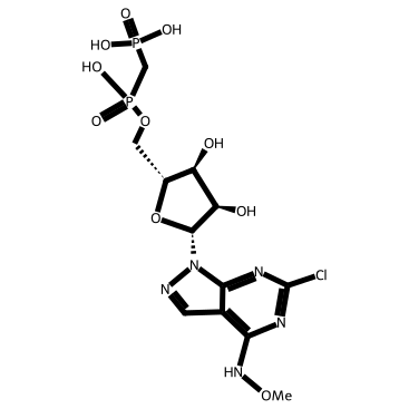 CONc1nc(Cl)nc2c1cnn2[C@@H]1O[C@H](COP(=O)(O)CP(=O)(O)O)[C@@H](O)[C@H]1O